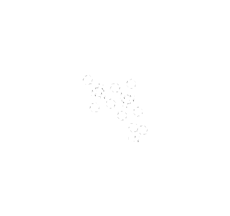 N#Cc1ccc(-c2cccc(-c3nc(-c4ccccc4)nc(-c4ccc(-c5ccccc5-c5nc(-c6ccccc6)nc(-c6ccccc6)n5)cc4-c4ccccc4)n3)c2)c2ccccc12